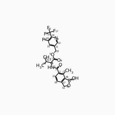 Cc1c(C(=O)N[C@H](C(=O)OCc2cnc(C(F)(F)F)c(F)c2)C(C)C)ccc2c1B(O)OC2